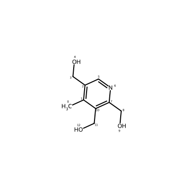 Cc1c(CO)cnc(CO)c1CO